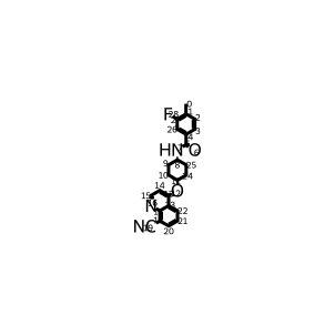 Cc1ccc(C(=O)N[C@H]2CC[C@H](Oc3ccnc4c(C#N)cccc34)CC2)cc1F